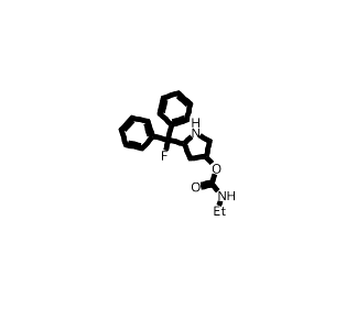 CCNC(=O)OC1CNC(C(F)(c2ccccc2)c2ccccc2)C1